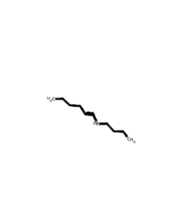 CCCCC=CNCCCC